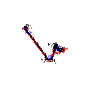 CC[C@@]1(O)C(=O)OCc2c1cc1n(c2=O)Cc2c-1nc1cc(F)c(C)c3c1c2[C@@H](NC(=O)[C@H](O)CCOCNC(=O)[C@H](C)NC(=O)[C@H](C)NC(=O)CCOCCOCCOCCOCCOCCOCCOCCOCCNC(=O)CCN1C(=O)CC(C)C1=O)CC3